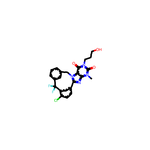 Cn1c(=O)n(CCCO)c(=O)c2c1nc1n2Cc2cccc(c2)C(F)(F)c2cc-1ccc2Cl